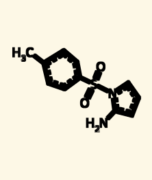 Cc1ccc(S(=O)(=O)n2cccc2N)cc1